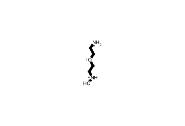 NCCOCCNO